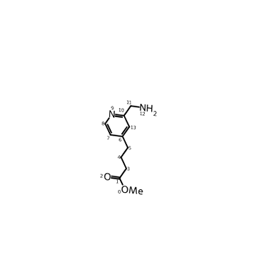 COC(=O)CCCc1ccnc(CN)c1